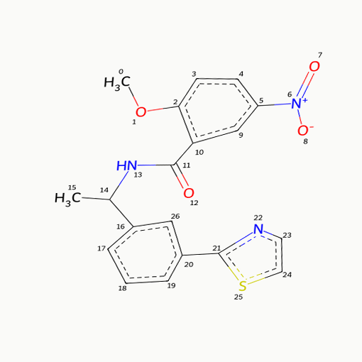 COc1ccc([N+](=O)[O-])cc1C(=O)NC(C)c1cccc(-c2nccs2)c1